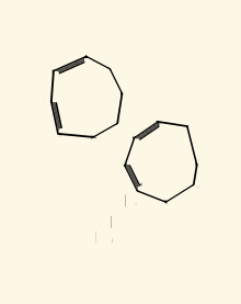 C1=CCCCCC=C1.C1=CCCCCC=C1.[Cl-].[Cl-].[Ra+2]